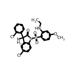 CCNc1cc(OC)ccc1S(=O)(=O)N1C(=O)C(N)(c2ccccc2Cl)c2cc(Cl)ccc21